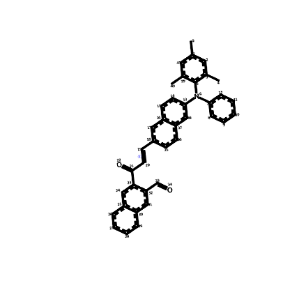 Cc1cc(C)c(N(c2ccccc2)c2ccc3cc(/C=C/C(=O)c4cc5ccccc5cc4C=O)ccc3c2)c(C)c1